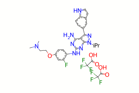 CC(C)n1nc(-c2ccc3[nH]ccc3c2)c2c(N)nc(Nc3ccc(OCCN(C)C)cc3F)nc21.O=C(O)C(F)(F)F.O=C(O)C(F)(F)F